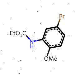 CCOC(=O)Nc1cc(Br)ccc1OC